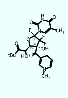 Cc1cn([C@]2(F)O[C@H](C(O)C(=O)C(C)(C)C)[C@](O)(C(=O)C3=CN(C)C=CC3)C2(F)F)c(=O)[nH]c1=O